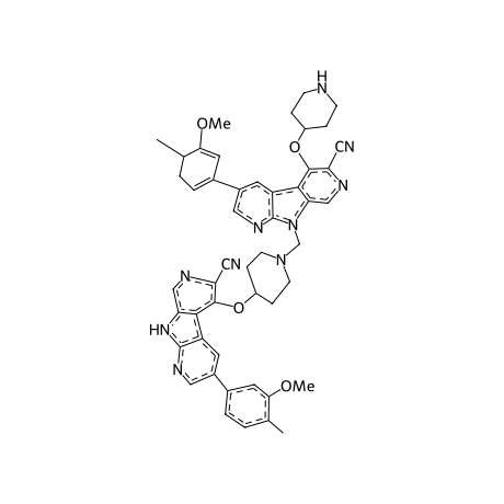 COC1=CC(c2cnc3c(c2)c2c(OC4CCNCC4)c(C#N)ncc2n3CN2CCC(Oc3c(C#N)ncc4[nH]c5ncc(-c6ccc(C)c(OC)c6)cc5c34)CC2)=CCC1C